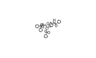 CC(C)(C)[Si](OC[C@H]1SC(n2ccc(NC(=O)c3ccccc3)nc2=O)C[C@H]1OC(=O)c1ccccc1)(c1ccccc1)c1ccccc1